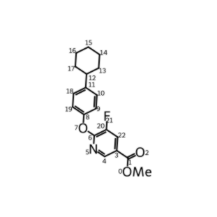 COC(=O)c1cnc(Oc2ccc(C3CCCCC3)cc2)c(F)c1